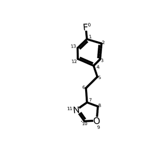 Fc1ccc(CCC2CO[C]=N2)cc1